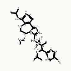 COC[C@@H]1COc2c(ccnc2OC(C)C)-c2nnc(NS(=O)(=O)C(C)C(OC(C)C)c3ncc(Cl)cn3)n21